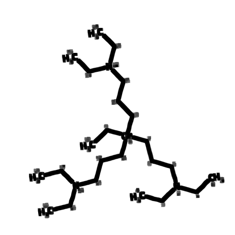 CCN(CC)CC[CH2][Ge]([CH2]C)([CH2]CCN(CC)CC)[CH2]CCN(CC)CC